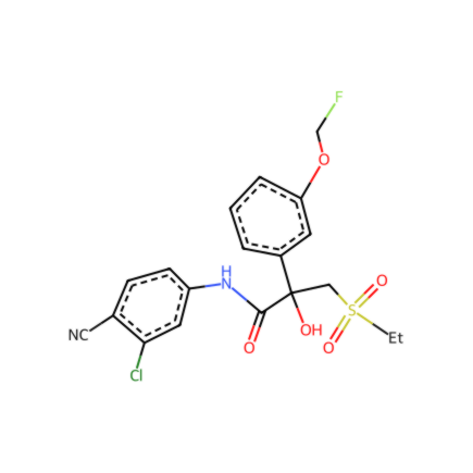 CCS(=O)(=O)CC(O)(C(=O)Nc1ccc(C#N)c(Cl)c1)c1cccc(OCF)c1